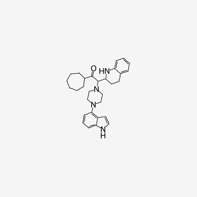 O=C(C1CCCCCC1)C(C1CCc2ccccc2N1)N1CCN(c2cccc3[nH]ccc23)CC1